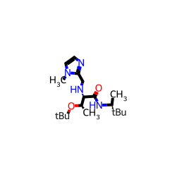 C[C@@H](OC(C)(C)C)[C@H](NCc1nccn1C)C(=O)N[C@H](C)C(C)(C)C